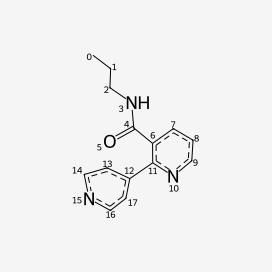 CCCNC(=O)c1cccnc1-c1ccncc1